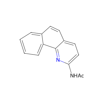 CC(=O)Nc1ccc2ccc3ccccc3c2n1